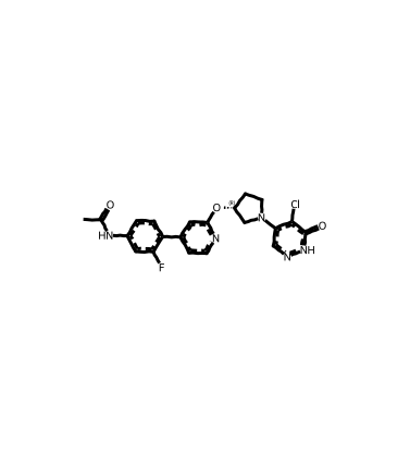 CC(=O)Nc1ccc(-c2ccnc(O[C@@H]3CCN(c4cn[nH]c(=O)c4Cl)C3)c2)c(F)c1